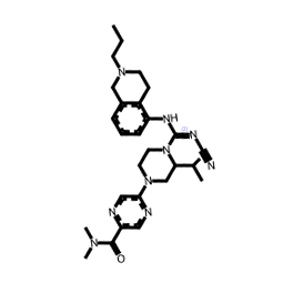 CCCN1CCc2c(cccc2N/C(=N/C#N)N2CCN(c3cnc(C(=O)N(C)C)cn3)CC2C(C)C)C1